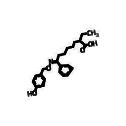 CCC(CCCCCC(=NOCc1ccc(O)cc1)c1ccccc1)C(=O)O